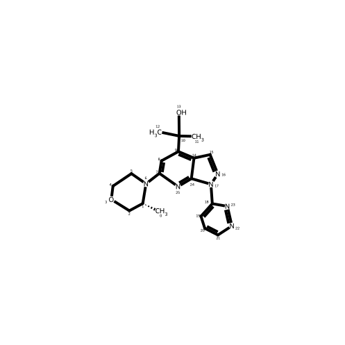 C[C@@H]1COCCN1c1cc(C(C)(C)O)c2cnn(-c3cccnn3)c2n1